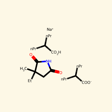 CCC1(C)CC(=O)NC1=O.CCCC(CCC)C(=O)O.CCCC(CCC)C(=O)[O-].[Na+]